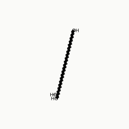 OCCCCCCCCCCCCCCCCCCCCCCCCCCCCCCCCCCCCCCC(O)CO